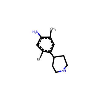 CCc1cc(N)c(C)cc1C1CCNCC1